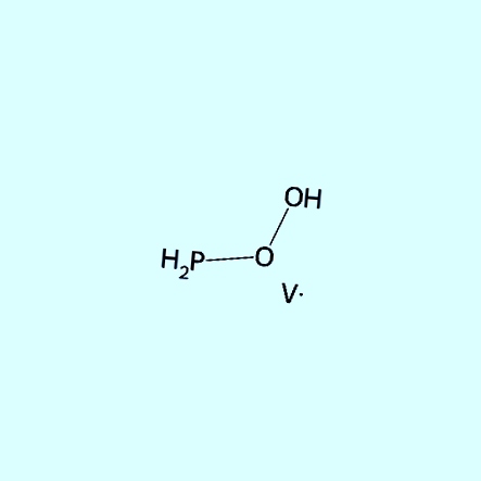 OOP.[V]